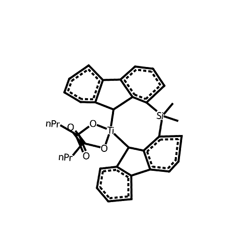 CCCC(=O)[O][Ti]1([O]C(=O)CCC)[CH]2c3ccccc3-c3cccc(c32)[Si](C)(C)c2cccc3c2[CH]1c1ccccc1-3